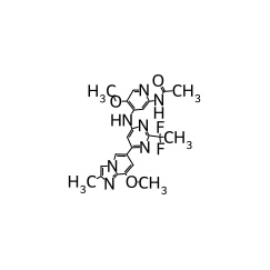 COc1cnc(NC(C)=O)cc1Nc1cc(-c2cc(OC)c3nc(C)cn3c2)nc(C(C)(F)F)n1